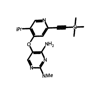 CNc1ncc(Oc2cc(C#C[Si](C)(C)C)ncc2C(C)C)c(N)n1